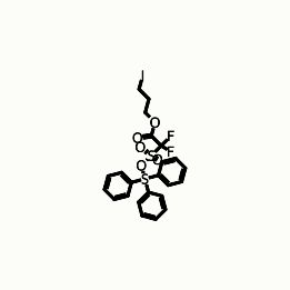 O=C(OCCCI)C(F)(F)S(=O)(=O)OS(c1ccccc1)(c1ccccc1)c1ccccc1